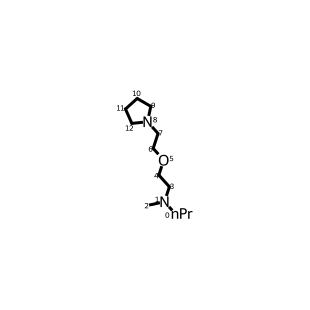 CCCN(C)CCOCCN1CCCC1